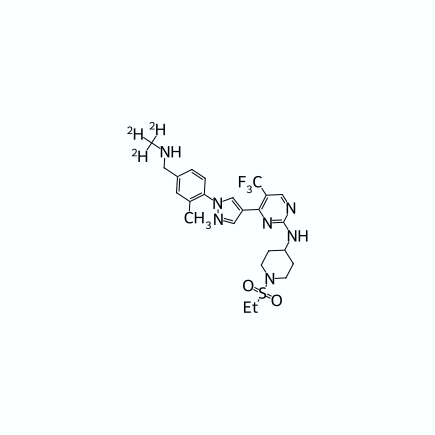 [2H]C([2H])([2H])NCc1ccc(-n2cc(-c3nc(NC4CCN(S(=O)(=O)CC)CC4)ncc3C(F)(F)F)cn2)c(C)c1